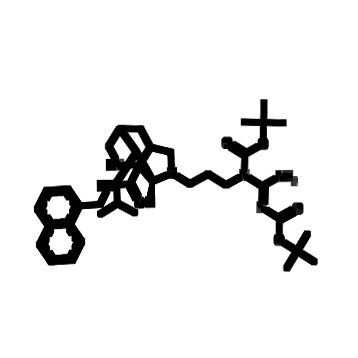 CC(C)CC1C2CNC3(C(=O)NCc4cccc5ccccc45)C(C2)CN(CCCN(C(=O)OC(C)(C)C)C(N)=NC(=O)OC(C)(C)C)[C@@H]13